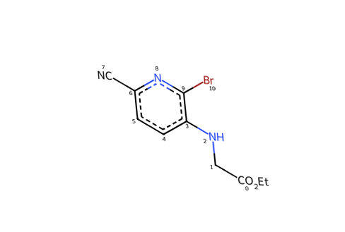 CCOC(=O)CNc1ccc(C#N)nc1Br